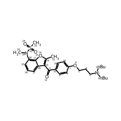 CCCCN(CCCC)CCCOc1ccc(C(=O)c2c(C)oc3c(N(C)S(C)(=O)=O)cccc23)cc1